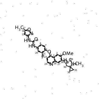 COc1cc2c(Oc3ccc(NC(=O)Nc4cc(C)on4)cc3F)ccnc2cc1OCC1(N(C)C)CC1